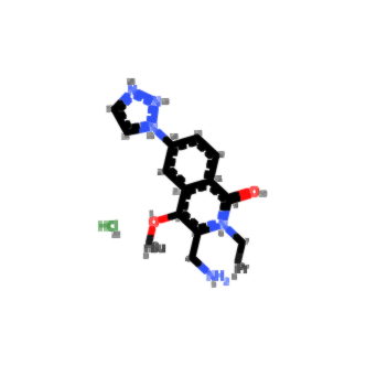 CCCCOc1c(CN)n(CC(C)C)c(=O)c2ccc(-n3ccnn3)cc12.Cl